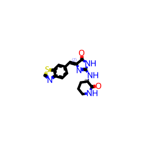 O=C1NC(N[C@H]2CCCNC2=O)=N/C1=C\c1ccc2ncsc2c1